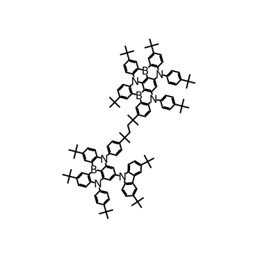 CC(C)(C)c1ccc(N2c3ccc(C(C)(C)C)cc3B3c4cc(C(C)(C)C)ccc4N(c4ccc(C(C)(C)CCC(C)(C)c5ccc6c(c5)B5c7cc(C(C)(C)C)ccc7N7c8ccc(C(C)(C)C)cc8B8c9cc(C(C)(C)C)ccc9N(c9ccc(C(C)(C)C)cc9)c9cc(c5c7c98)N6c5ccc(C(C)(C)C)cc5)cc4)c4cc(-n5c6ccc(C(C)(C)C)cc6c6cc(C(C)(C)C)ccc65)cc2c43)cc1